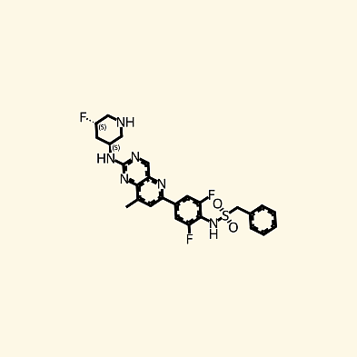 Cc1cc(-c2cc(F)c(NS(=O)(=O)Cc3ccccc3)c(F)c2)nc2cnc(N[C@@H]3CNC[C@@H](F)C3)nc12